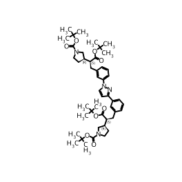 CC(C)(C)OC(=O)[C@@H](Cc1cccc(-c2ccn(-c3cccc(C[C@H](C(=O)OC(C)(C)C)[C@H]4CCN(C(=O)OC(C)(C)C)C4)c3)n2)c1)[C@H]1CCN(C(=O)OC(C)(C)C)C1